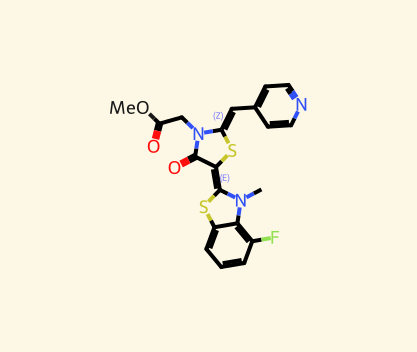 COC(=O)Cn1c(=O)/c(=C2\Sc3cccc(F)c3N2C)s/c1=C\c1ccncc1